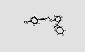 Clc1ccc(C#CCOc2nsnc2C2CN3CCCC2C3)cc1